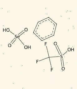 O=S(=O)(O)C(F)(F)F.O=[Se](=O)(O)O.c1ccccc1